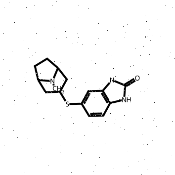 CN1C2CCC1CC(Sc1ccc3c(c1)[N]C(=O)N3)C2